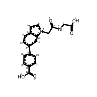 O=C(O)CNC(=O)Cn1ccc2ccc(-c3ccc(C(=O)O)cc3)cc21